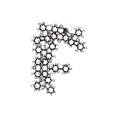 CC1(C)c2ccccc2-c2cccc(B(c3ccccc3)c3ccc4c(c3)C3(c5cc(B(c6ccccc6)c6cccc7c6C(C)(C)c6cc(-c8cccc9c8Oc8ccccc8C98c9cc(B(c%10ccccc%10)c%10cccc%11c%10oc%10ccccc%10%11)ccc9Oc9ccc(B(c%10ccccc%10)c%10cccc%11c%10oc%10ccccc%10%11)cc98)ccc6-7)ccc5O4)c4ccccc4N(c4ccc(-c5ccccc5)cc4)c4ccccc43)c21